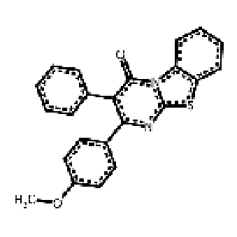 COc1ccc(-c2nc3sc4ccccc4n3c(=O)c2-c2ccccc2)cc1